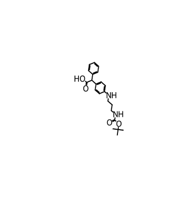 CC(C)(C)OC(=O)NCCCNc1ccc(C(C(=O)O)c2ccccc2)cc1